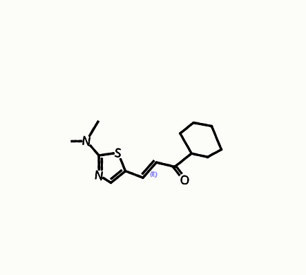 CN(C)c1ncc(/C=C/C(=O)C2CCCCC2)s1